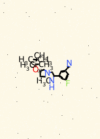 CNC(CN1CC[C@H](O[Si](C)(C)C(C)(C)C)C1)c1cc(F)cc(C#N)c1